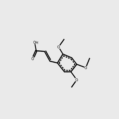 COc1cc(OC)c(OC)cc1/C=C/C(=O)O